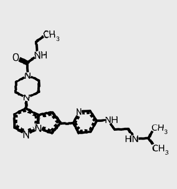 CCNC(=O)N1CCN(c2ccnn3cc(-c4ccc(NCCNC(C)C)cn4)cc23)CC1